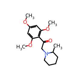 COc1cc(OC)c(C(=O)CN2CCCCC2C)c(OC)c1